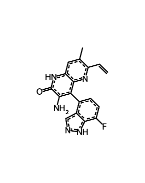 C=Cc1nc2c(-c3ccc(F)c4[nH]ncc34)c(N)c(=O)[nH]c2cc1C